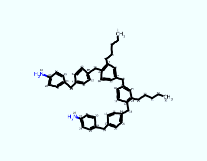 CCCCCc1cc(Cc2ccc(Cc3ccc(Cc4ccc(N)cc4)cc3)c(CCCCC)c2)ccc1Cc1ccc(Cc2ccc(N)cc2)cc1